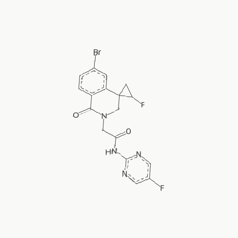 O=C(CN1CC2(CC2F)c2cc(Br)ccc2C1=O)Nc1ncc(F)cn1